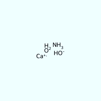 N.O.[Ca+].[OH-]